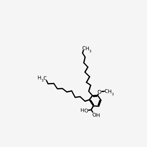 CCCCCCCCCCc1c(OC)ccc(C(O)O)c1CCCCCCCCCC